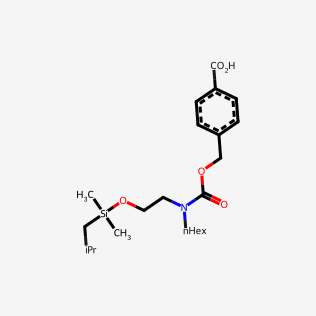 CCCCCCN(CCO[Si](C)(C)CC(C)C)C(=O)OCc1ccc(C(=O)O)cc1